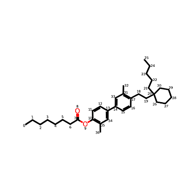 CCCCCCCC(=O)Oc1ccc(-c2ccc(CCC3(CCCCC)CCCCC3)c(C)c2)cc1C